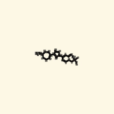 C=C/C=C(\C=C/CCC(C)(F)F)n1cnc(C2=CCCC(N)C=C2)n1